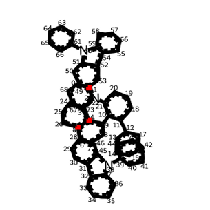 c1ccc(-c2ccccc2-c2c(-c3ccccc3)cccc2N(c2cccc(-c3ccc4c5ccccc5n(-c5ccccc5)c4c3)c2)c2ccc3c(c2)c2ccccc2n3-c2ccccc2)cc1